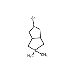 CC(=O)N1CC2C[N+](C)(C)CC2C1